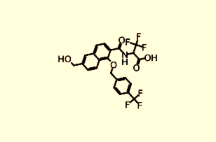 O=C(NC(C(=O)O)C(F)(F)F)c1ccc2cc(CO)ccc2c1OCc1ccc(C(F)(F)F)cc1